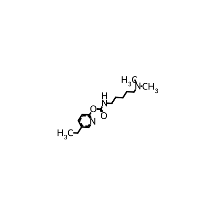 CCc1ccc(OC(=O)NCCCCCN(C)C)nc1